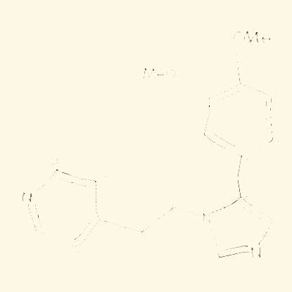 COc1ccc(-c2cncn2CCc2ccncc2)cc1OC